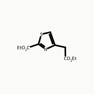 CCOC(=O)Cc1csc(C(=O)OCC)n1